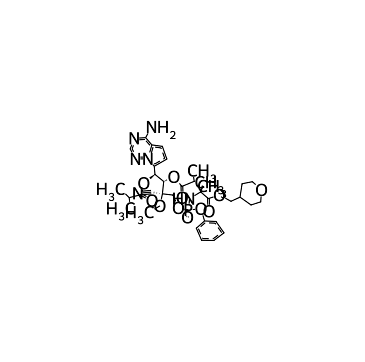 CO[C@](C#N)(COP(=O)(N[C@@H](C)C(=O)OCC1CCOCC1)Oc1ccccc1)[C@@H](OC(=O)C(C)C)[C@@H](OC(=O)C(C)C)c1ccc2c(N)ncnn12